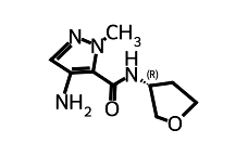 Cn1ncc(N)c1C(=O)N[C@@H]1CCOC1